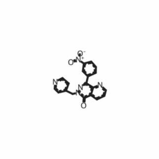 O=c1c2cccnc2c(-c2cccc([N+](=O)[O-])c2)nn1Cc1ccncc1